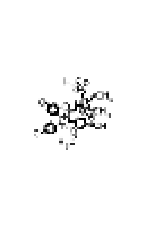 C#Cc1cc(OCC)c(C2=N[C@@H](c3ccc(Cl)cc3)[C@@H](c3ccc(Cl)cc3)N2C(=O)/C=C/CN(CCC)CCS(C)(=O)=O)cc1S(=O)(=O)N(C)C